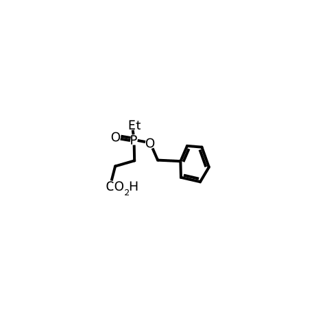 CCP(=O)(CCC(=O)O)OCc1ccccc1